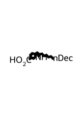 CCCCCCCCCCCCCCCCc1cc2ccc(C(=O)O)cc2[nH]1